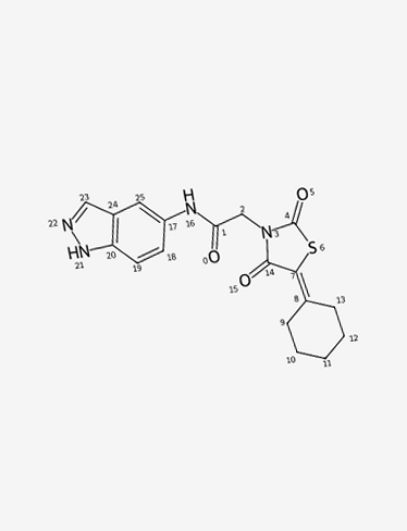 O=C(CN1C(=O)SC(=C2CCCCC2)C1=O)Nc1ccc2[nH]ncc2c1